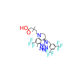 Cc1cc2c(cc1C(F)(F)F)N(CCC(C)(C)CC(=O)O)CCC[C@@H]2N(Cc1cc(C(F)(F)F)cc(C(F)(F)F)c1)c1nnn(C)n1